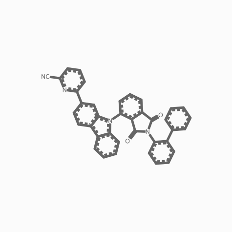 N#Cc1cccc(-c2ccc3c4ccccc4n(-c4cccc5c4C(=O)N(c4ccccc4-c4ccccc4)C5=O)c3c2)n1